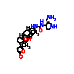 C[C@]12CC[C@H](NC(=O)NC3CCNC[C@H]3CN)C[C@H]1CC[C@@H]1[C@@H]2CC[C@]2(C)[C@@H](c3ccc(=O)oc3)CC[C@]12O